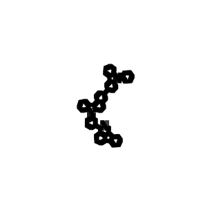 c1ccc(-n2c3ccccc3c3cc(-c4ccc5c(ccc6c5c5ccccc5n6-c5cccc(-c6ncc7c8c(cccc68)-c6ccccc6-7)c5)c4)ccc32)cc1